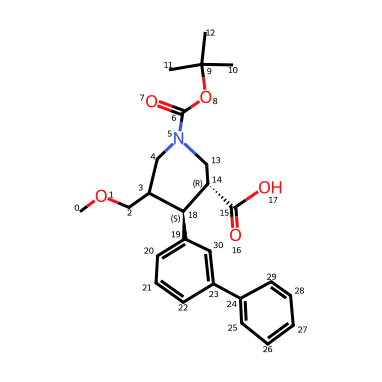 COCC1CN(C(=O)OC(C)(C)C)C[C@H](C(=O)O)[C@H]1c1cccc(-c2ccccc2)c1